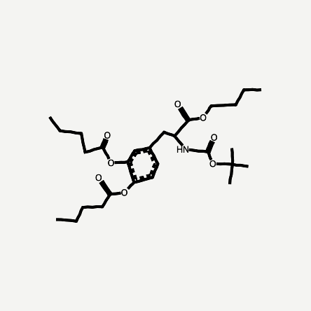 CCCCOC(=O)C(Cc1ccc(OC(=O)CCCC)c(OC(=O)CCCC)c1)NC(=O)OC(C)(C)C